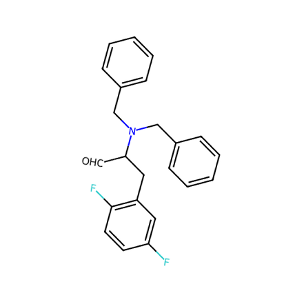 O=CC(Cc1cc(F)ccc1F)N(Cc1ccccc1)Cc1ccccc1